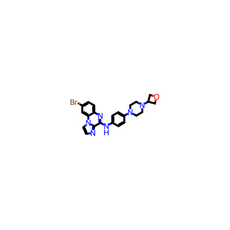 Brc1ccc2nc(Nc3ccc(N4CCN(C5COC5)CC4)cc3)c3nccn3c2c1